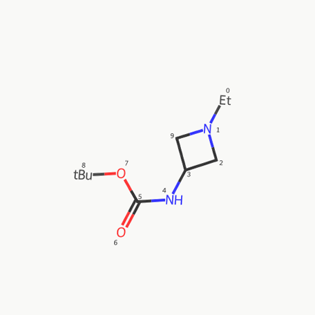 CCN1CC(NC(=O)OC(C)(C)C)C1